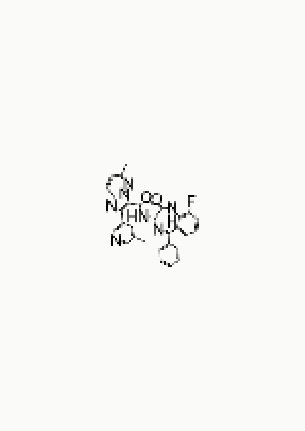 Cc1cncc(-c2nc3ccc(C)nn3c2C(=O)N[C@H]2N=C(c3ccccc3)c3cccc(F)c3NC2=O)c1